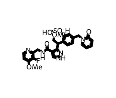 COCC(c1ccc(Cn2ccccc2=O)cc1)c1n[nH]cc1C(=O)NCc1nccc(OC)c1F.O=S(=O)(O)O